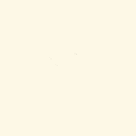 CC(C)(C)N1Cc2cnn(C3CCOCC3)c2C1